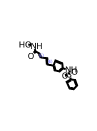 O=C(/C=C/C=C/c1ccc(NS(=O)(=O)c2ccccc2)cc1)NO